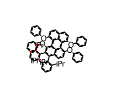 CC(C)c1cccc(C(C)C)c1-c1c(-c2c(C(C)C)cccc2C(C)C)c2ccc(Oc3ccccc3)c3c4c(Oc5ccccc5)ccc5ccc(Oc6ccccc6)c(c(c1Oc1ccccc1)c23)c54